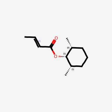 C/C=C/C(=O)O[C@@H]1[C@H](C)CCC[C@@H]1C